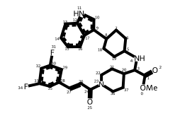 COC(=O)C(NC1CCC(c2c[nH]c3ccccc23)CC1)C1CCN(C(=O)C=Cc2cc(F)cc(F)c2)CC1